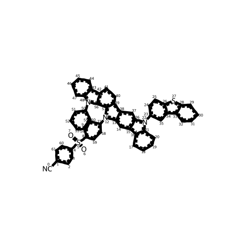 N#Cc1ccc(S(=O)(=O)c2ccc(-n3c4cc5c6ccccc6n(-c6ccc7sc8ccccc8c7c6)c5cc4c4ccc5c6ccccc6n(-c6ccccc6)c5c43)cc2)cc1